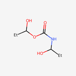 CCC(O)NC(=O)OC(O)CC